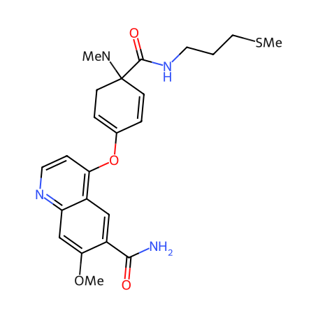 CNC1(C(=O)NCCCSC)C=CC(Oc2ccnc3cc(OC)c(C(N)=O)cc23)=CC1